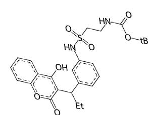 CCC(c1cccc(NS(=O)(=O)CCNC(=O)OC(C)(C)C)c1)c1c(O)c2ccccc2oc1=O